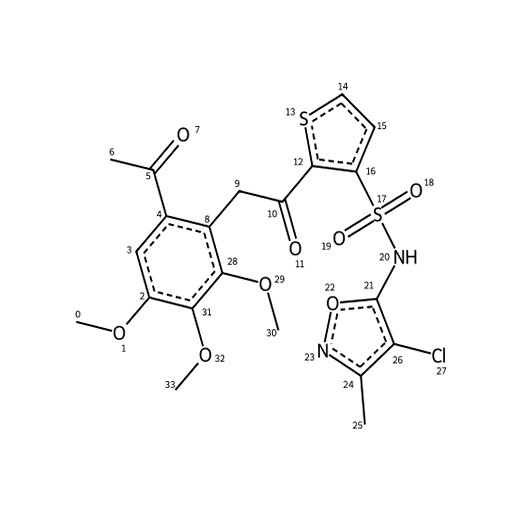 COc1cc(C(C)=O)c(CC(=O)c2sccc2S(=O)(=O)Nc2onc(C)c2Cl)c(OC)c1OC